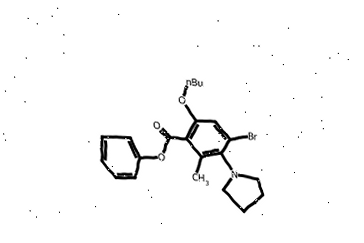 CCCCOc1cc(Br)c(N2CCCC2)c(C)c1C(=O)Oc1ccccc1